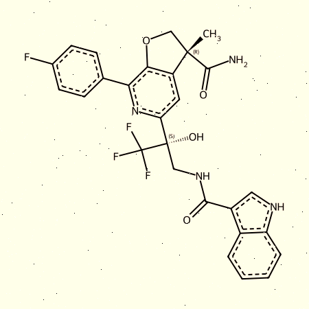 C[C@]1(C(N)=O)COc2c1cc([C@@](O)(CNC(=O)c1c[nH]c3ccccc13)C(F)(F)F)nc2-c1ccc(F)cc1